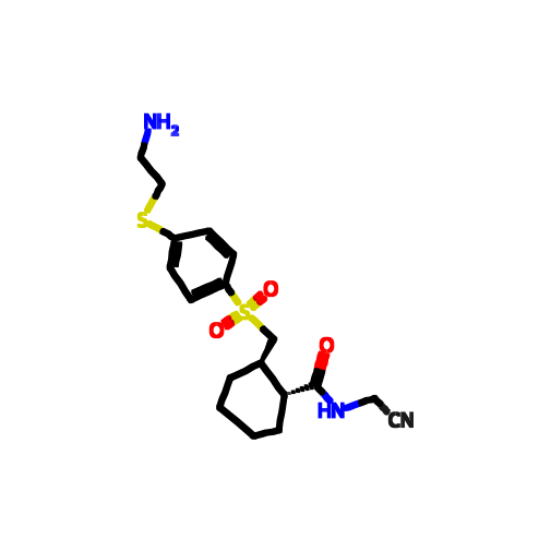 N#CCNC(=O)[C@@H]1CCCC[C@H]1CS(=O)(=O)c1ccc(SCCN)cc1